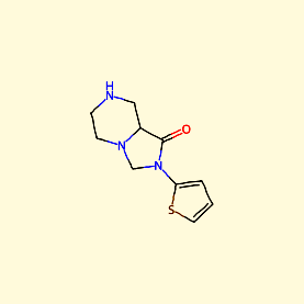 O=C1C2CNCCN2CN1c1cccs1